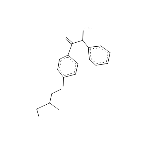 COC(C(=O)c1ccc(OCC(O)CC(C)(C)C)cc1)c1ccccc1